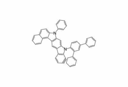 c1ccc2c3cc4c5c6ccccc6ccc5n(-c5ccccc5)c4cc3n(-c3ccc(-c4ccccc4)cc3C3=CC=CCC3)c2c#1